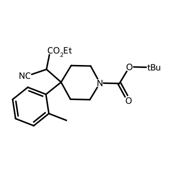 CCOC(=O)C(C#N)C1(c2ccccc2C)CCN(C(=O)OC(C)(C)C)CC1